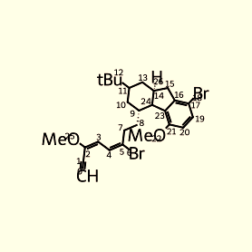 C#C/C(=C\C=C(\Br)CC[C@@H]1CC(C(C)(C)C)C[C@H]2Cc3c(Br)ccc(OC)c3C12)OC